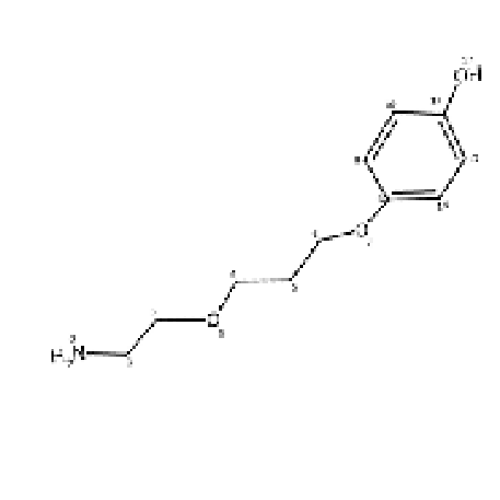 NCCOCCCOc1ccc(O)cc1